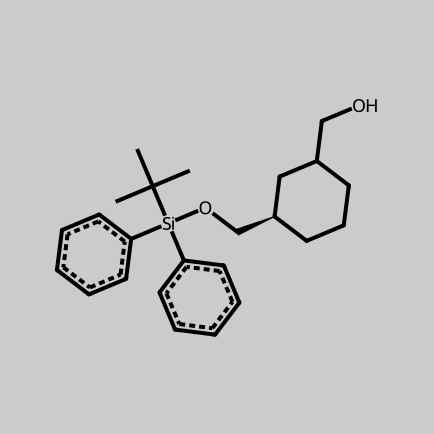 CC(C)(C)[Si](OC[C@@H]1CCCC(CO)C1)(c1ccccc1)c1ccccc1